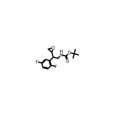 CC(C)(C)OC(=O)NCC(c1cc(F)ccc1F)C1CO1